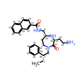 CC[C@@H](CN1CC[C@@H](CNC(=O)c2ccc3ccccc3c2)N[C@@H](CCN)C1=O)c1ccccc1